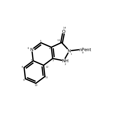 CCCCCn1[nH]c2c(cnc3ccccc32)c1=O